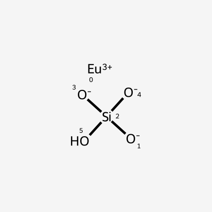 [Eu+3].[O-][Si]([O-])([O-])O